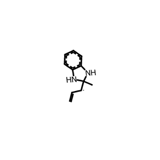 C=C[CH]C1(C)Nc2ccccc2N1